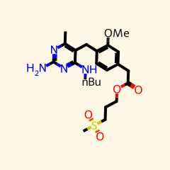 CCCCNc1nc(N)nc(C)c1Cc1ccc(CC(=O)OCCCS(C)(=O)=O)cc1OC